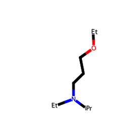 CCOCCCN(CC)C(C)C